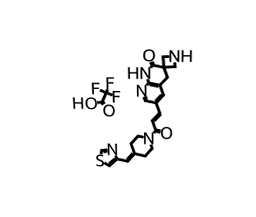 O=C(/C=C/c1cnc2c(c1)CC1(CNC1)C(=O)N2)N1CCC(=Cc2cscn2)CC1.O=C(O)C(F)(F)F